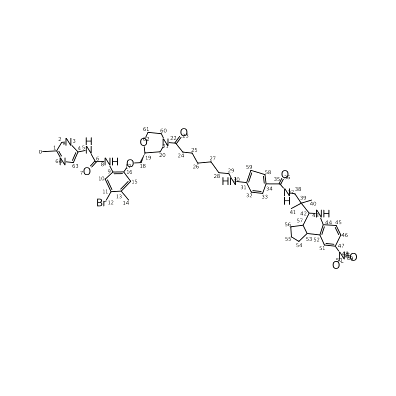 Cc1cnc(NC(=O)Nc2cc(Br)c(C)cc2OC[C@@H]2CN(C(=O)CCCCCCNc3ccc(C(=O)NCC(C)(C)C4Nc5ccc([N+](=O)[O-])cc5C5CCCC54)cc3)CCO2)cn1